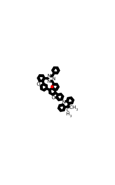 CC1(C)c2ccccc2N(c2ccc3c(c2)oc2cc(-c4ccc5oc6cccc(-c7nc(-c8ccccc8)nc(-c8ccccc8)n7)c6c5c4)ccc23)c2ccccc21